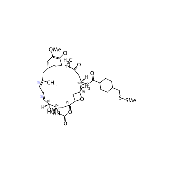 COc1cc2cc(c1Cl)N(C)C(=O)C[C@H](OC(=O)C1CCC(CSSC)CC1)[C@@]1(C)CC(O1)[C@@H]1C[C@@](O)(NC(=O)O1)[C@H](OC)/C=C/C=C(\C)C2